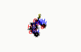 CSCC[C@H](NC(=O)NCC1CC=CO1)C(=O)N[C@@H](CC(C)C)[C@@H](O)C[C@@H](C)C(=O)N[C@H](C(=O)NCc1ccccc1)C(C)C